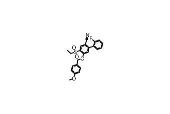 CCS(=O)(=O)c1cc(C#N)c(-c2ccccc2F)cc1OCc1ccc(OC)cc1